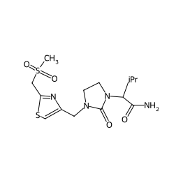 CC(C)C(C(N)=O)N1CCN(Cc2csc(CS(C)(=O)=O)n2)C1=O